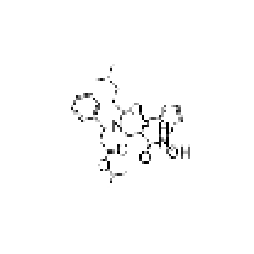 CC(C)CCC(=O)N(CC(Sc1cccs1)C(=O)NO)C(CC(=O)OC(C)C)c1ccccc1